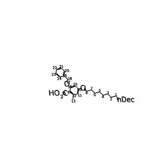 CCCCCCCCCCCCCCCCCCOc1cc(C)c(C(=O)O)c(OCc2ccccc2)c1